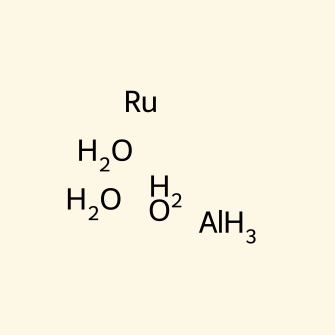 O.O.O.[AlH3].[Ru]